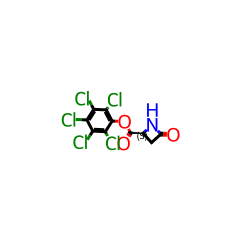 O=C1C[C@@H](C(=O)Oc2c(Cl)c(Cl)c(Cl)c(Cl)c2Cl)N1